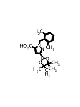 Cc1cccc(C)c1Cn1nc(B2OC(C)(C)C(C)(C)O2)cc1C(=O)O